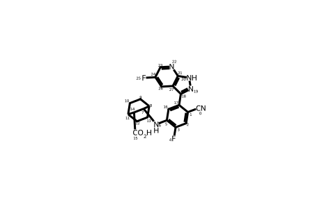 N#Cc1cc(F)c(NC2C3CCC(CC3)C2C(=O)O)cc1-c1n[nH]c2ncc(F)cc12